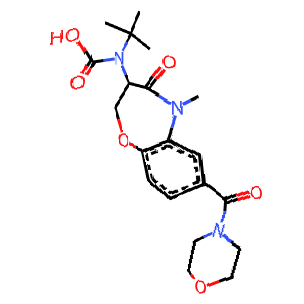 CN1C(=O)C(N(C(=O)O)C(C)(C)C)COc2ccc(C(=O)N3CCOCC3)cc21